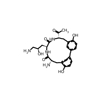 CC(=O)[C@@H]1Cc2cc(ccc2O)-c2ccc(O)c(c2)C[C@H](N)C(=O)N[C@@H](C[C@@H](O)CN)C(=O)N1